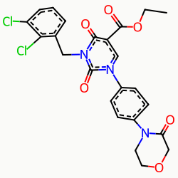 CCOC(=O)c1cn(-c2ccc(N3CCOCC3=O)cc2)c(=O)n(Cc2cccc(Cl)c2Cl)c1=O